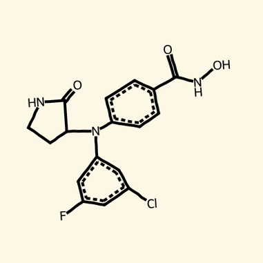 O=C(NO)c1ccc(N(c2cc(F)cc(Cl)c2)C2CCNC2=O)cc1